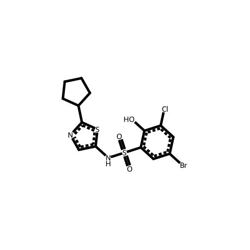 O=S(=O)(Nc1cnc(C2CCCC2)s1)c1cc(Br)cc(Cl)c1O